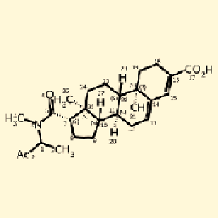 CC(=O)C(C)N(C)C(=O)[C@H]1CC[C@H]2[C@@H]3CC=C4C=C(C(=O)O)CC[C@]4(C)[C@H]3CC[C@]12C